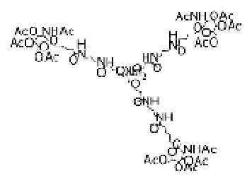 CC(=O)N[C@H]1[C@H](OCCCCC(=O)NCCCNC(=O)CCOCC(N)(COCCC(=O)NCCCNC(=O)CCCCOC2O[C@H](COC(C)=O)[C@H](OC(C)=O)[C@H](OC(C)=O)[C@H]2NC(C)=O)COCCC(=O)NCCCNC(=O)CCCCO[C@@H]2O[C@H](COC(C)=O)[C@H](OC(C)=O)[C@H](OC(C)=O)[C@H]2NC(C)=O)O[C@H](COC(C)=O)[C@H](OC(C)=O)[C@@H]1OC(C)=O